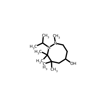 CC(C)N1N(C)CCC(O)CC(C)(C)C1(C)C